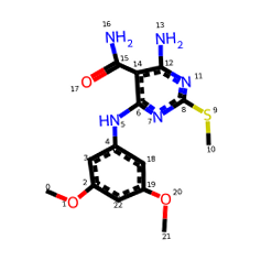 COc1cc(Nc2nc(SC)nc(N)c2C(N)=O)cc(OC)c1